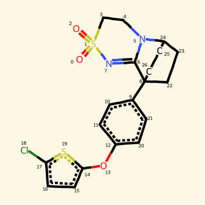 O=S1(=O)CCN2C(=N1)C1(c3ccc(Oc4ccc(Cl)s4)cc3)CCC2CC1